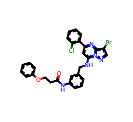 O=C(CCOc1ccccc1)Nc1cccc(CNc2cc(-c3ccccc3Cl)nc3c(Br)cnn23)c1